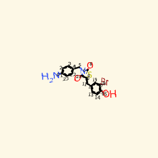 Nc1ccc(CN2C(=O)S/C(=C\c3ccc(O)c(Br)c3)C2=O)cc1